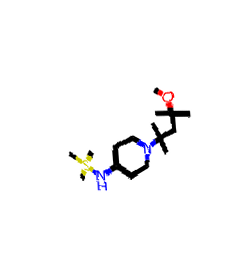 COC(C)(C)CC(C)(C)N1CCC(NS(C)(C)C)CC1